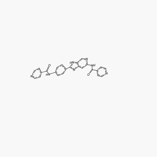 O=C(Nc1ccc(-c2nc3cc(NC(=O)c4ccncc4)ncc3[nH]2)cc1)c1ccncc1